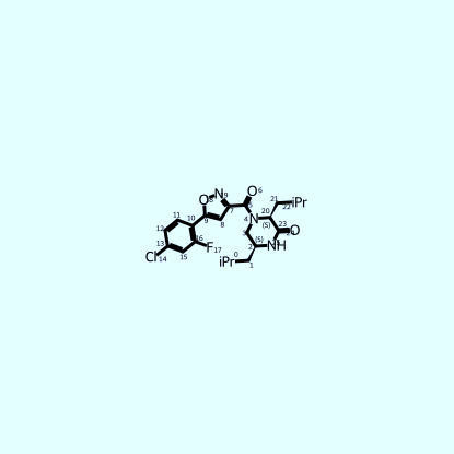 CC(C)C[C@H]1CN(C(=O)c2cc(-c3ccc(Cl)cc3F)on2)[C@@H](CC(C)C)C(=O)N1